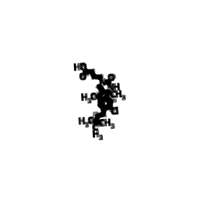 CC(C)C1=CN(CCCC(=O)O)C(=O)NC1(C)c1ccc(CCC(C)(C)C)c(Cl)c1